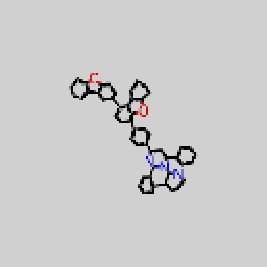 c1ccc(-c2cc(-c3ccc(-c4ccc(-c5ccc6oc7ccccc7c6c5)c5c4oc4ccccc45)cc3)nc(-c3ccccc3-c3cccnc3)n2)cc1